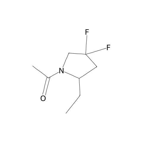 CCC1CC(F)(F)CN1C(C)=O